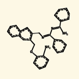 N/C(=N\C(=N/Cc1cc2ccccc2cc1COc1ccccc1N)c1ccccc1)c1ccccc1